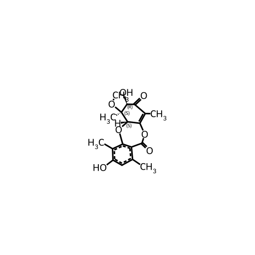 CO[C@@]1(C)[C@@H](O)C(=O)C(C)=C2OC(=O)c3c(C)cc(O)c(C)c3O[C@@H]21